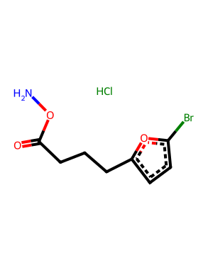 Cl.NOC(=O)CCCc1ccc(Br)o1